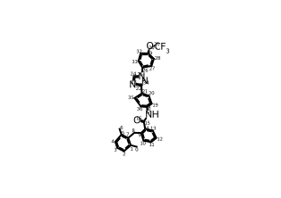 Cc1cccc(C)c1Cc1ccccc1C(=O)Nc1ccc(-c2ncn(-c3ccc(OC(F)(F)F)cc3)n2)cc1